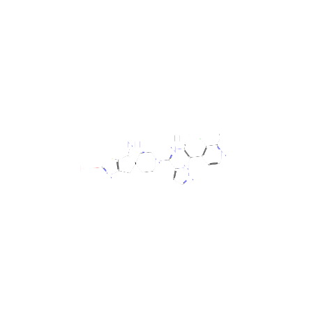 Cc1nccc(-c2c(C)nc(N3CCC4(CC3)Cc3nc(O)sc3C4N)c3ccnn23)c1Cl